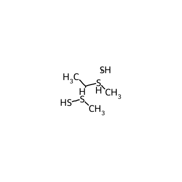 CC([SH](C)S)[SH](C)S